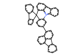 c1ccc2c(c1)-c1cccc3c(-c4ccc5c(c4)-n4c6ccccc6c6cccc(c64)C54c5ccccc5-c5ccccc54)ccc-2c13